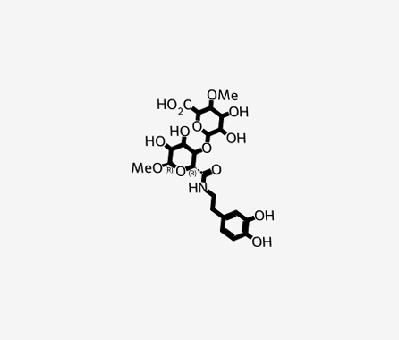 COC1C(C(=O)O)OC(OC2C(O)C(O)[C@H](OC)O[C@H]2C(=O)NCCc2ccc(O)c(O)c2)C(O)C1O